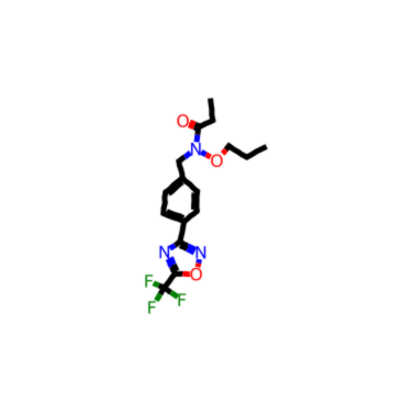 CCCON(Cc1ccc(-c2noc(C(F)(F)F)n2)cc1)C(=O)CC